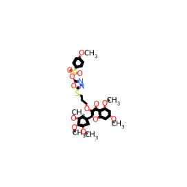 COc1ccc(S(=O)(=O)Oc2nnc(SCCCOc3c(-c4cc(OC)c(OC)c(OC)c4)oc4cc(OC)cc(OC)c4c3=O)o2)cc1